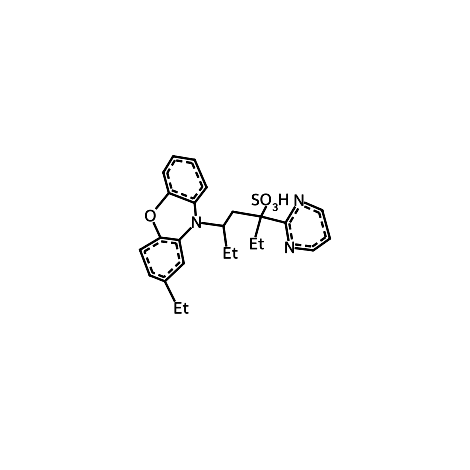 CCc1ccc2c(c1)N(C(CC)CC(CC)(c1ncccn1)S(=O)(=O)O)c1ccccc1O2